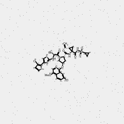 C=C[C@@H]1C[C@]1(NC(=O)[C@@H]1C[C@@H](Oc2ncc(OC)c3ccc(Cl)cc23)CN1C(=O)[C@@H](Nc1nc(-c2sccc2Cl)cs1)C(C)(C)C)C(=O)NS(=O)(=O)C1CC1